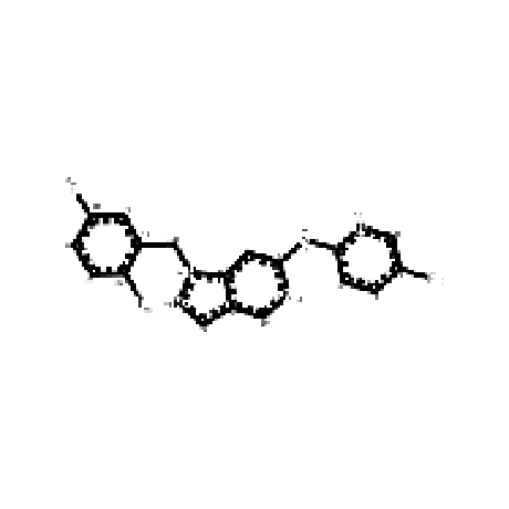 Fc1ccc(Nc2cc3c(cn2)cnn3Cc2cc(F)ccc2F)nc1